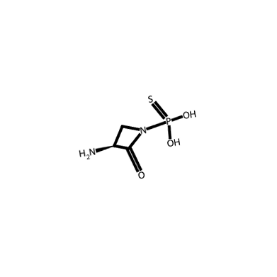 N[C@H]1CN(P(O)(O)=S)C1=O